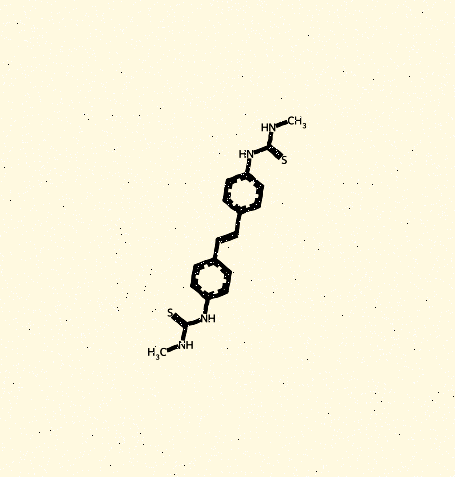 CNC(=S)Nc1ccc(/C=C/c2ccc(NC(=S)NC)cc2)cc1